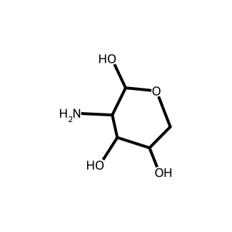 NC1C(O)OCC(O)C1O